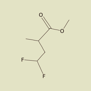 COC(=O)C(C)CC(F)F